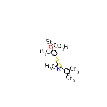 CCC(Oc1ccc(SCc2sc(-c3cc(C(F)(F)F)cc(C(F)(F)F)c3)nc2C)cc1C)C(=O)O